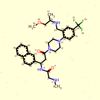 CNCC(=O)NC(CC(=O)N1CCN(c2ccc(C(F)(F)F)cc2CNC(C)COC)CC1)c1ccc2ccccc2c1